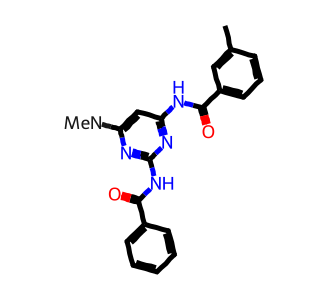 CNc1cc(NC(=O)c2cccc(C)c2)nc(NC(=O)c2ccccc2)n1